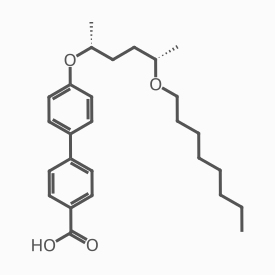 CCCCCCCCO[C@@H](C)CC[C@@H](C)Oc1ccc(-c2ccc(C(=O)O)cc2)cc1